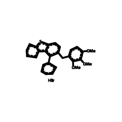 Br.COc1ccc(Cc2ccc3sc4ccccc4c3c2-c2ccccc2)c(OC)c1OC